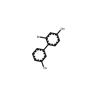 N#Cc1cccc(-c2ccc(O)cc2Br)c1